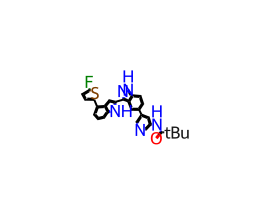 CC(C)(C)C(=O)Nc1cncc(-c2ccc3[nH]nc(-c4cc5c(-c6ccc(F)s6)cccc5[nH]4)c3c2)c1